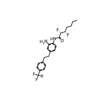 CCCC[C@H](F)[C@@H](F)C(=O)Nc1ccc(CCc2ccc(C(F)(F)F)cc2)cc1N